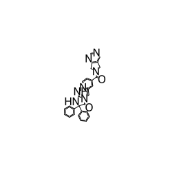 N=C1NC(c2ccccc2)(c2ccccc2)C(=O)N1Cc1cc(C(=O)N2Cc3cncnc3C2)ccn1